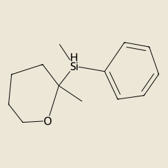 C[SiH](c1ccccc1)C1(C)CCCCO1